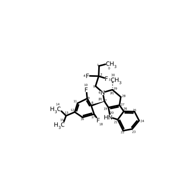 CCC(F)(F)CN1[C@H](c2c(F)cc(C(C)C)cc2F)c2[nH]c3ccccc3c2C[C@H]1C